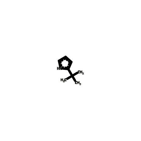 CC(C)(C)c1c[c]c[nH]1